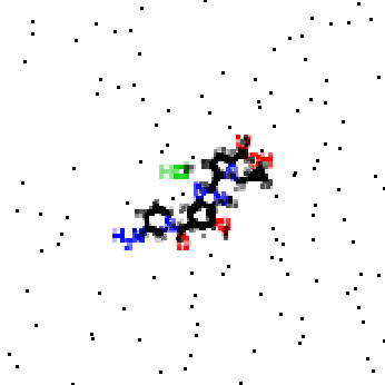 COc1cc(C(=O)N2CCCC(N)C2)cc2nc(-c3ccc(C(=O)O)n3CC3CC3)n(C)c12.Cl